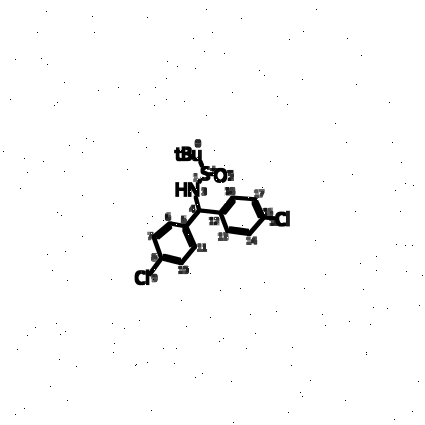 CC(C)(C)[S+]([O-])NC(c1ccc(Cl)cc1)c1ccc(Cl)cc1